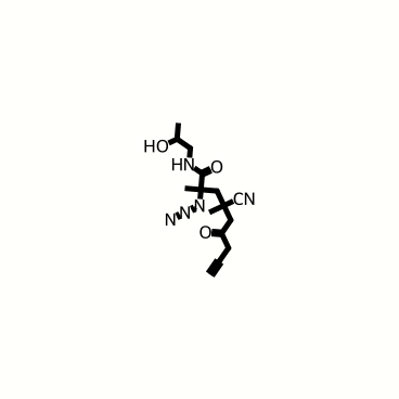 C#CCC(=O)CC(C)(C#N)CC(C)(N=[N+]=[N-])C(=O)NCC(C)O